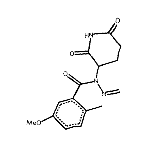 C=NN(C(=O)c1cc(OC)ccc1C)C1CCC(=O)NC1=O